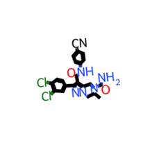 CC1Cn2nc(-c3ccc(Cl)c(Cl)c3)c(C(=O)Nc3ccc(C#N)cc3)c2CN1C(N)=O